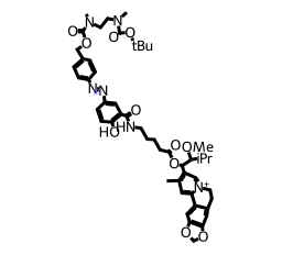 COC(C(C)C)C(OC(=O)CCCCNC(=O)c1cc(/N=N/c2ccc(COC(=O)N(C)CCN(C)C(=O)OC(C)(C)C)cc2)ccc1O)c1c[n+]2c(cc1C)-c1cc3c(cc1CC2)OCO3